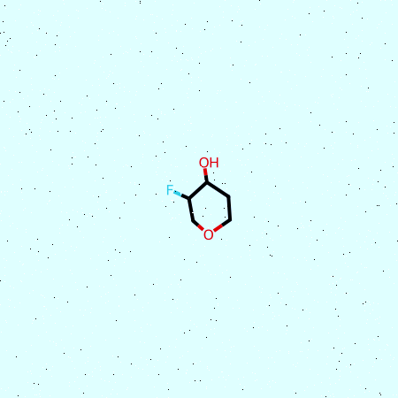 OC1CCOCC1F